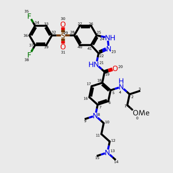 COCC(C)Nc1cc(N(C)CCCN(C)C)ccc1C(=O)Nc1n[nH]c2ccc(S(=O)(=O)c3cc(F)cc(F)c3)cc12